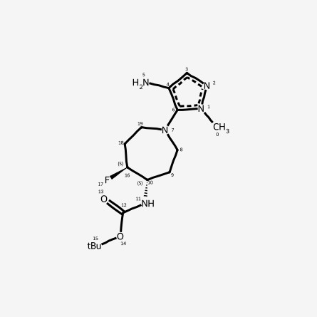 Cn1ncc(N)c1N1CC[C@H](NC(=O)OC(C)(C)C)[C@@H](F)CC1